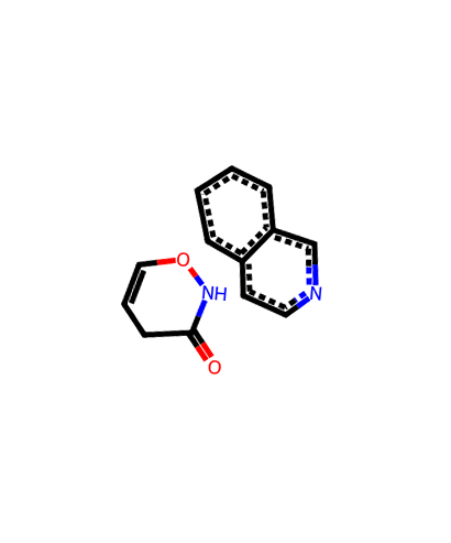 O=C1CC=CON1.c1ccc2cnccc2c1